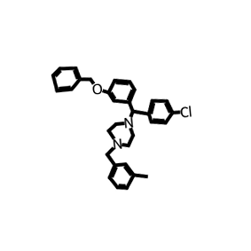 Cc1cccc(CN2CCN(C(c3ccc(Cl)cc3)c3cccc(OCc4ccccc4)c3)CC2)c1